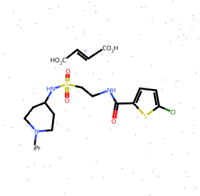 CC(C)N1CCC(NS(=O)(=O)CCNC(=O)c2ccc(Cl)s2)CC1.O=C(O)/C=C/C(=O)O